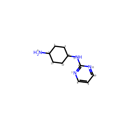 NC1CCC(Nc2ncccn2)CC1